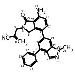 C=C(C#N)CN1Cc2c(-c3cc(-c4ccccc4)c4cnn(C)c4c3)ccc(N)c2C1=O